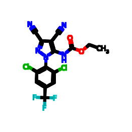 CCOC(=O)Nc1c(C#N)c(C#N)nn1-c1c(Cl)cc(C(F)(F)F)cc1Cl